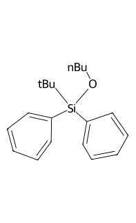 CC[CH]CO[Si](c1ccccc1)(c1ccccc1)C(C)(C)C